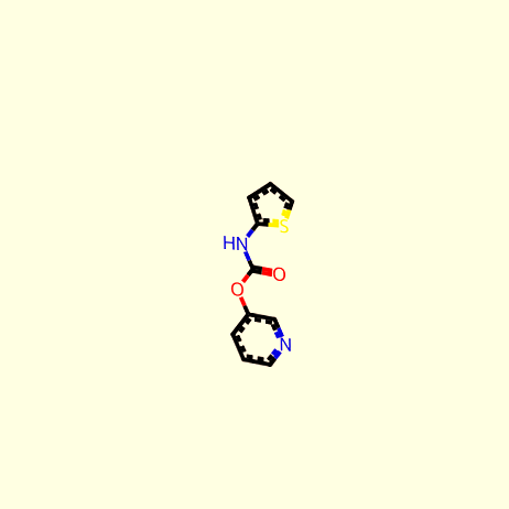 O=C(Nc1cccs1)Oc1cccnc1